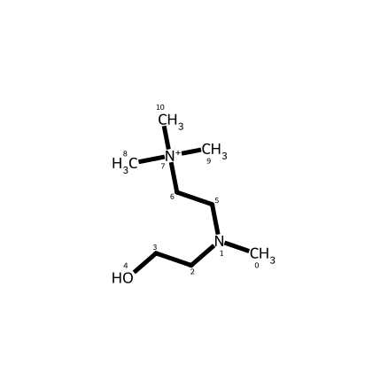 CN(CCO)CC[N+](C)(C)C